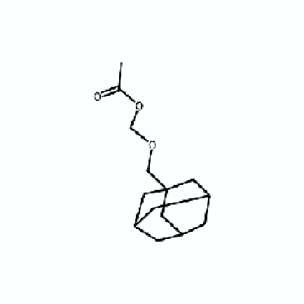 CC(=O)OCOCC12CC3CC(CC(C3)C1)C2